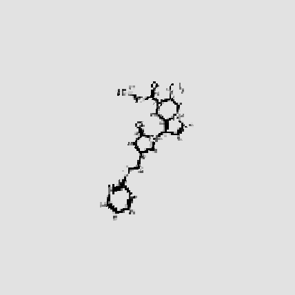 C[C@H]1Cn2ncc(N3CC(COc4ncccn4)CC3=O)c2CN1C(=O)OC(C)(C)C